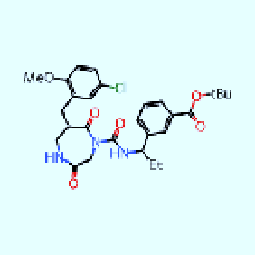 CC[C@@H](NC(=O)N1CC(=O)NC[C@@H](Cc2cc(Cl)ccc2OC)C1=O)c1cccc(C(=O)OC(C)(C)C)c1